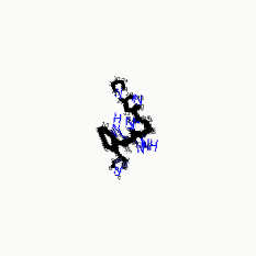 C=N/C=C\C(=C/C)c1cccc2[nH]c(-c3n[nH]c4ccc(-c5cncc(CN6CCCCC6)c5)nc34)cc12